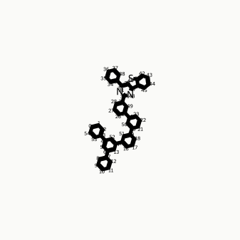 c1ccc(-c2cc(-c3ccccc3)cc(-c3cccc(-c4cccc(-c5cccc(-c6nc(-c7ccccc7)c7sc8ccccc8c7n6)c5)c4)c3)c2)cc1